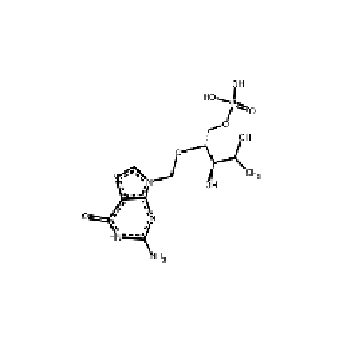 CC(O)[C@@H](O)[C@@H](COP(=O)(O)O)OCn1cnc2c(=O)[nH]c(N)nc21